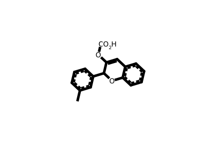 Cc1cccc(C2Oc3ccccc3C=C2OC(=O)O)c1